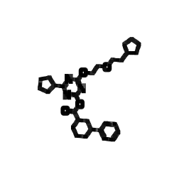 O=C(Oc1nc(OCCOCCC2CCCC2)nc(C2CCCC2)n1)C1CCCC(c2ccccc2)C1